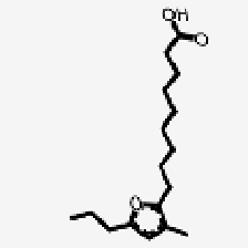 CCCc1cc(C)c(CCCCCCCCC(=O)O)o1